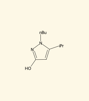 CCCCn1nc(O)cc1C(C)C